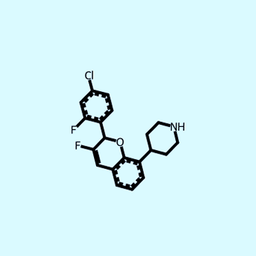 FC1=Cc2cccc(C3CCNCC3)c2OC1c1ccc(Cl)cc1F